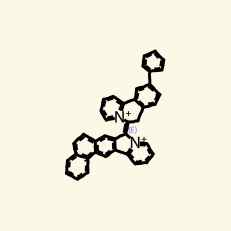 c1ccc(-c2ccc3c(c2)-c2cccc[n+]2/C(=C2\c4cc5ccc6ccccc6c5cc4-c4cccc[n+]42)C3)cc1